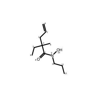 C=CCC(C)(CC)C(=O)N(O)CCC